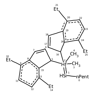 CCCCC[SiH]=[Hf]([CH3])([CH3])([CH]1C=Cc2c(CC)ccc(CC)c21)[CH]1C=Cc2c(CC)ccc(CC)c21